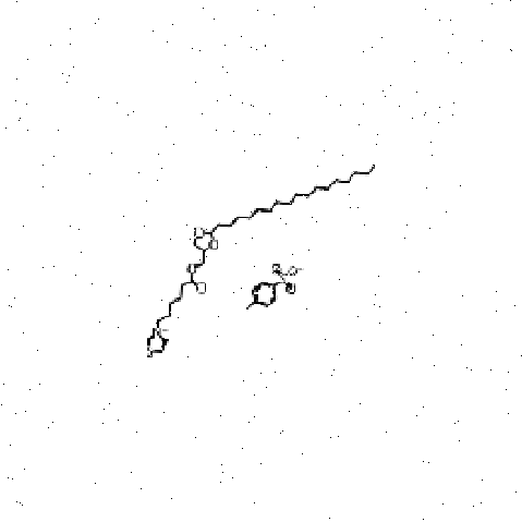 CCCCCCCCCCCCCCCCCC1OCC(COC(=O)CCCCC[n+]2ccsc2)O1.Cc1ccc(S(=O)(=O)[O-])cc1